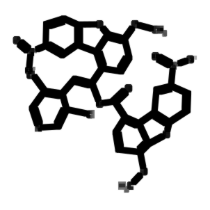 COc1ccc(C(=O)OC(=Cc2c(Cl)cncc2Cl)c2ccc(OC)c3oc4ccc([N+](=O)[O-])cc4c23)c2c1oc1ccc([N+](=O)[O-])cc12